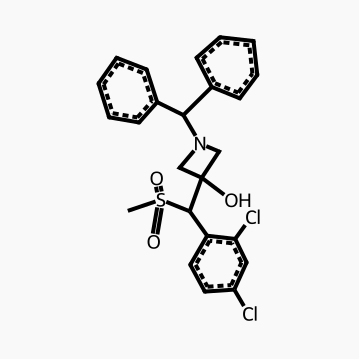 CS(=O)(=O)C(c1ccc(Cl)cc1Cl)C1(O)CN(C(c2ccccc2)c2ccccc2)C1